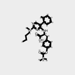 CCCCN(C)c1ncc(-c2ccccc2C)c(N[C@@H](Cc2ccc(OC(=O)N(C)C)cc2)C(=O)O)n1